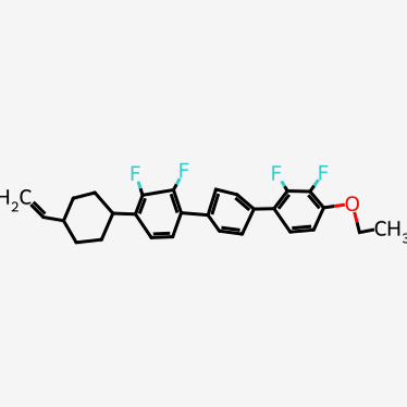 C=CC1CCC(c2ccc(-c3ccc(-c4ccc(OCC)c(F)c4F)cc3)c(F)c2F)CC1